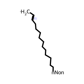 [CH2]/C=C/CCCCCCCCCCCCCCCCCCC[CH2]